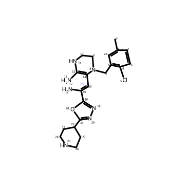 Cc1ccc(Cl)c(CN2CCNC(N)=C2/C=C(\N)c2nnc(C3CCNCC3)o2)c1